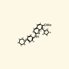 COc1ccc2cnc(Nc3ccc(N4CCCCC4)cc3)nc2c1C1CCCC1